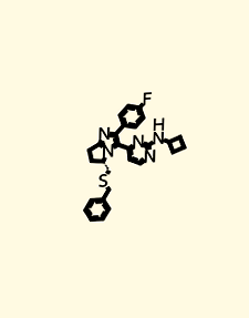 Fc1ccc(-c2nc3n(c2-c2ccnc(NC4CCC4)n2)[C@H](CSCc2ccccc2)CC3)cc1